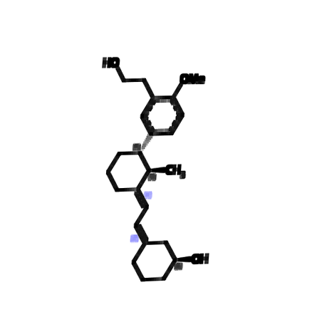 COc1ccc([C@H]2CCC/C(=C\C=C3\CCC[C@H](O)C3)[C@@H]2C)cc1CCO